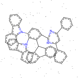 c1ccc(-c2cc(-c3ccccc3)nc(-c3ccc(-n4c5ccccc5c5ccccc54)c(-n4c5ccccc5c5ccccc54)c3C3c4ccccc4-c4ccccc43)n2)cc1